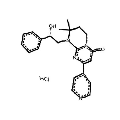 CC1(C)CCn2c(nc(-c3ccncc3)cc2=O)N1C[C@@H](O)c1ccccc1.Cl